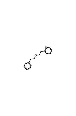 c1ccc(CCOCCc2ccccn2)nc1